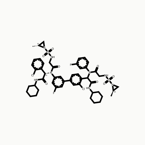 C[C@@H]1CN1S(=O)(=O)NCC(=O)N(c1cccc(F)c1)C(C(=O)NC1CCCCC1)c1ccc(-c2cc(F)cc(N(C(=O)CNS(=O)(=O)N3C[C@H]3C)[C@H](C(=O)NC3CCCCC3)c3ccccc3Cl)c2)cc1Cl